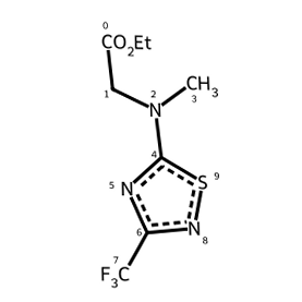 CCOC(=O)CN(C)c1nc(C(F)(F)F)ns1